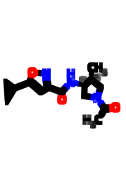 CC(=O)N1C[C@H](C)[C@H](NC(=O)c2cc(C3CC3)on2)C1